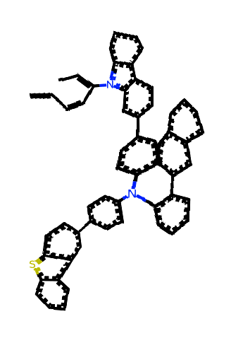 C=C/C=C\C(=C/C)n1c2ccccc2c2ccc(-c3ccc(N(c4ccc(-c5ccc6sc7ccccc7c6c5)cc4)c4ccccc4-c4ccc5ccccc5c4)cc3)cc21